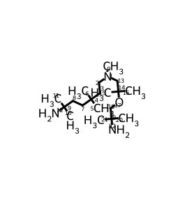 CN(CCC(C)(C)CCC(C)(C)N)CC(C)(C)OCC(C)(C)N